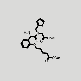 COC(=O)CCCCOc1ccccc1[C@H](N)C(=O)N(CC(=O)OC)Cc1cccs1